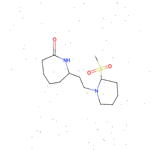 CS(=O)(=O)C1CCCCN1CCC1CCCCC(=O)N1